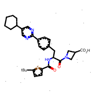 CC(C)(C)c1ccc(C(=O)NC(Cc2ccc(-c3ncc(C4CCCCC4)cn3)cc2)C(=O)N2CC(C(=O)O)C2)s1